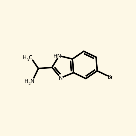 CC(N)c1nc2cc(Br)ccc2[nH]1